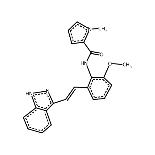 COc1cccc(C=Cc2n[nH]c3ccccc23)c1NC(=O)c1cccn1C